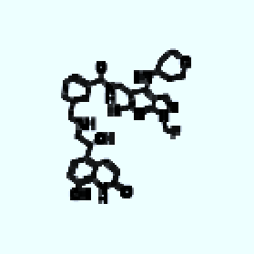 CCc1nc2c(cnn2CF)c(NC2CCOCC2)c1CNC(=O)c1cccc(CNC[C@H](O)c2ccc(O)c3[nH]c(=O)ccc23)c1